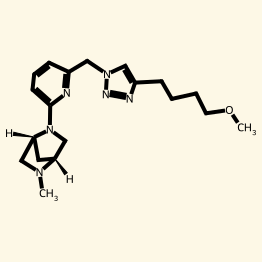 COCCCCc1cn(Cc2cccc(N3C[C@H]4C[C@@H]3CN4C)n2)nn1